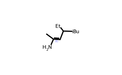 CCC(C)C(/C=C(\C)N)CC